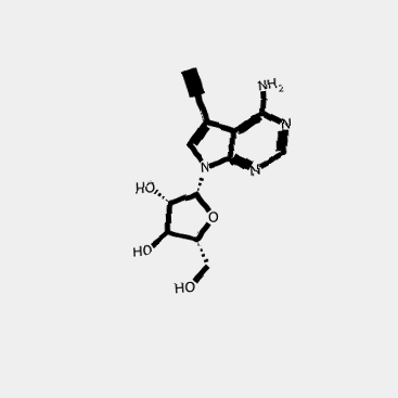 C#Cc1cn([C@@H]2O[C@H](CO)C(O)[C@@H]2O)c2ncnc(N)c12